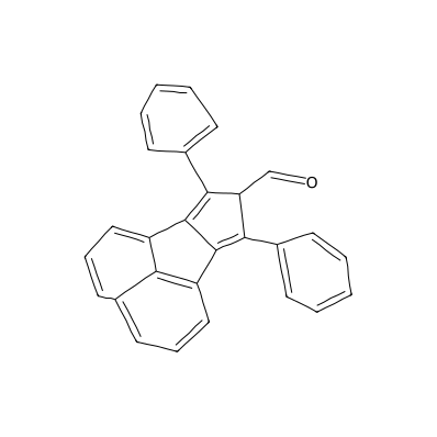 O=CC1C(c2ccccc2)=C2C(=C1c1ccccc1)c1cccc3cccc2c13